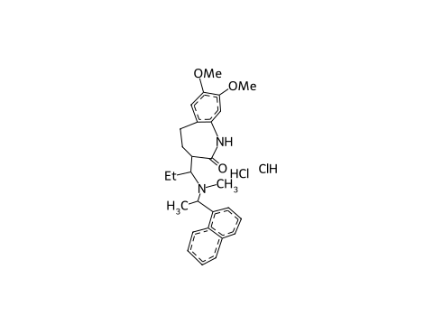 CCC(C1CCc2cc(OC)c(OC)cc2NC1=O)N(C)C(C)c1cccc2ccccc12.Cl.Cl